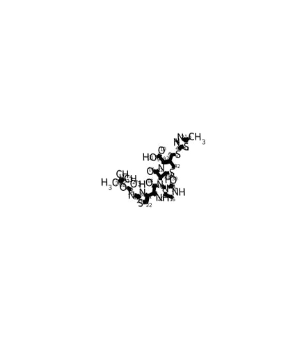 Cc1nnc(SCC2=C(C(=O)O)N3C(=O)C(N(C(=O)C(=N)c4csc(=NC(=O)OC(C)(C)C)[nH]4)N4CCNC4=O)[C@@H]3SC2)s1